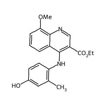 CCOC(=O)c1cnc2c(OC)cccc2c1Nc1ccc(O)cc1C